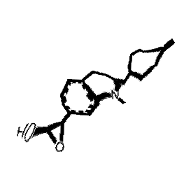 C=C1CCC(C2Cc3ccc(C4OC4O)cc3N2C)CC1